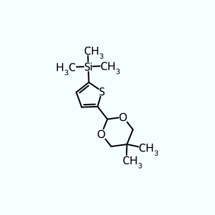 CC1(C)COC(c2ccc([Si](C)(C)C)s2)OC1